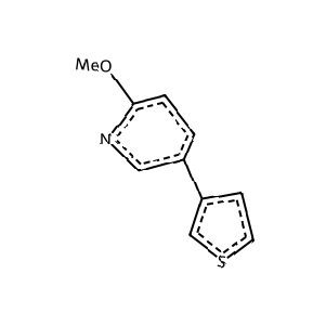 COc1ccc(-c2ccsc2)cn1